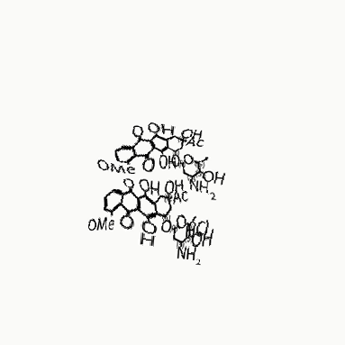 COc1cccc2c1C(=O)c1c(O)c3c(c(O)c1C2=O)C[C@@](O)(C(C)=O)C[C@@H]3O[C@H]1C[C@H](N)[C@H](O)[C@H](C)O1.COc1cccc2c1C(=O)c1c(O)c3c(c(O)c1C2=O)C[C@@](O)(C(C)=O)C[C@@H]3O[C@H]1C[C@H](N)[C@H](O)[C@H](C)O1.Cl